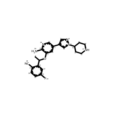 CC(Oc1cc(-c2cnn(C3CCNCC3)c2)cnc1N)c1cc(F)ccc1C#N